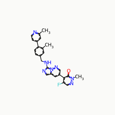 Cc1cc(-c2ccc(CNc3ncc4cc(-c5c(F)cnn(C)c5=O)cnn34)cc2C)ccn1